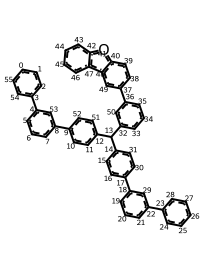 c1ccc(-c2cccc(-c3ccc(C(c4ccc(-c5cccc(-c6ccccc6)c5)cc4)c4cccc(-c5ccc6oc7ccccc7c6c5)c4)cc3)c2)cc1